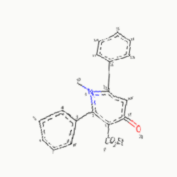 CCOC(=O)c1c(-c2ccccc2)n(C)c(-c2ccccc2)cc1=O